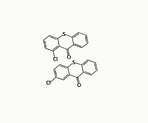 O=c1c2ccccc2sc2ccc(Cl)cc12.O=c1c2ccccc2sc2cccc(Cl)c12